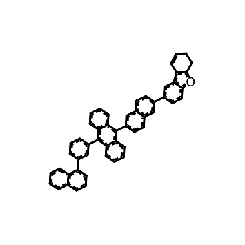 C1=Cc2c(oc3ccc(-c4ccc5cc(-c6c7ccccc7c(-c7cccc(-c8cccc9ccccc89)c7)c7ccccc67)ccc5c4)cc23)CC1